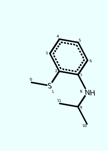 CSc1ccccc1NC(C)C